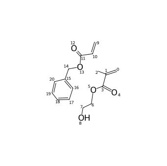 C=C(C)C(=O)OCCO.C=CC(=O)OCc1ccccc1